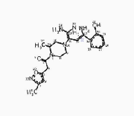 Cc1cc(CC(=O)N2CCN(C(/C=C(\N)c3ccccc3O)=C(N)N)CC2C)on1